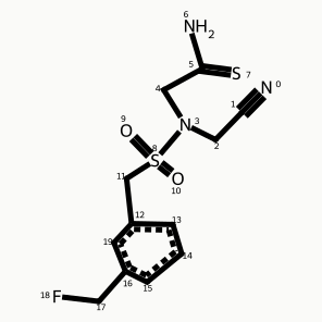 N#CCN(CC(N)=S)S(=O)(=O)Cc1cccc(CF)c1